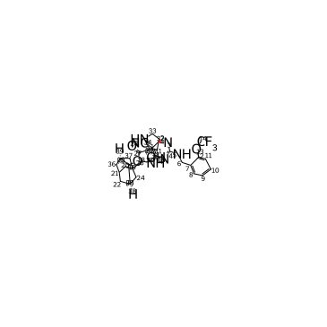 N#Cc1cnc(NCc2ccccc2OC(F)(F)F)nc1NCC12CC3C[C@H](C1)C(OC(=O)[C@]1(O)CCCN1)[C@@H](C3)C2